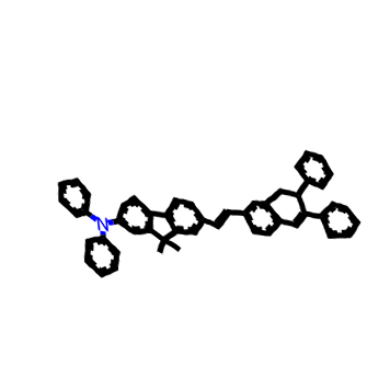 CC1(C)c2cc(/C=C/c3ccc4c(c3)CC(c3ccccc3)C(c3ccccc3)=C4)ccc2-c2ccc(N(c3ccccc3)c3ccccc3)cc21